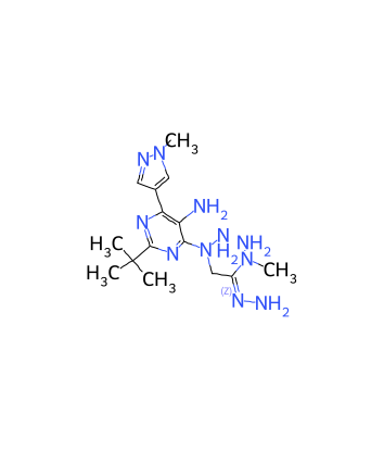 CN(N)/C(CN(N)c1nc(C(C)(C)C)nc(-c2cnn(C)c2)c1N)=N\N